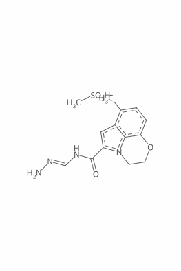 CS(=O)(=O)O.Cc1ccc2c3c1cc(C(=O)NC=NN)n3CCO2